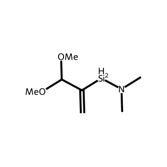 C=C([SiH2]N(C)C)C(OC)OC